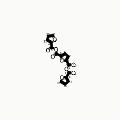 O=C(OC(=O)c1ccc(C(=O)OC(=O)c2ccco2)o1)c1ccco1